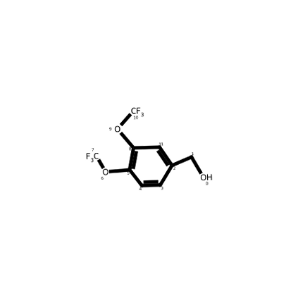 O[CH]c1ccc(OC(F)(F)F)c(OC(F)(F)F)c1